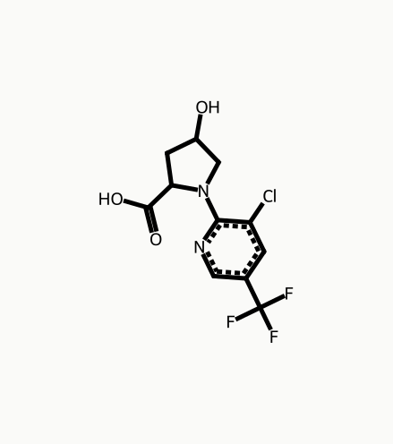 O=C(O)C1CC(O)CN1c1ncc(C(F)(F)F)cc1Cl